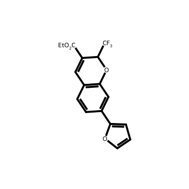 CCOC(=O)C1=Cc2ccc(-c3ccco3)cc2OC1C(F)(F)F